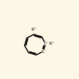 [C-]1=[C-]C=CC=CC=C1.[K+].[K+]